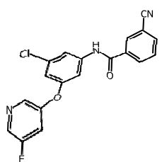 N#Cc1cccc(C(=O)Nc2cc(Cl)cc(Oc3cncc(F)c3)c2)c1